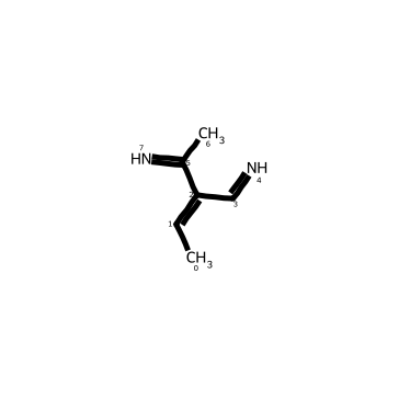 C/C=C(\C=N)C(C)=N